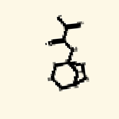 C=C(C)C(=O)OC12CCCC(CC1)C2